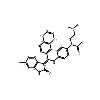 CC(=O)N(CCN(C)C)c1ccc(N/C(=C2\C(=O)Nc3cc(F)ccc32)c2ccc3c(c2)OC=CO3)cc1